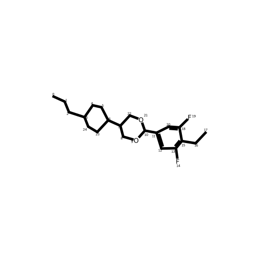 CCCC1CCC(C2COC(c3cc(F)c(CC)c(F)c3)OC2)CC1